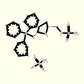 CS(=O)(=O)OC[C@H]1CC[C@@H](C[P+](c2ccccc2)(c2ccccc2)c2ccccc2)O1.CS(=O)(=O)[O-]